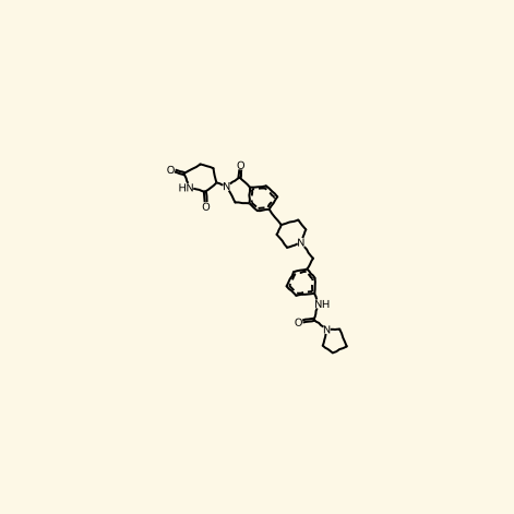 O=C1CCC(N2Cc3cc(C4CCN(Cc5cccc(NC(=O)N6CCCC6)c5)CC4)ccc3C2=O)C(=O)N1